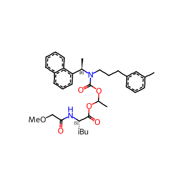 CCC(C)[C@H](NC(=O)COC)C(=O)OC(C)OC(=O)N(CCCc1cccc(C)c1)[C@H](C)c1cccc2ccccc12